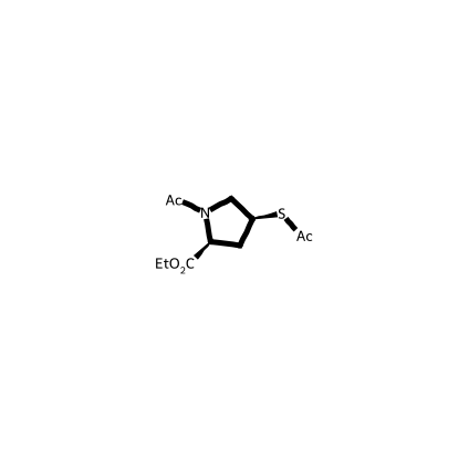 CCOC(=O)[C@@H]1C[C@H](SC(C)=O)CN1C(C)=O